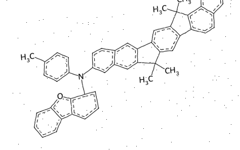 Cc1ccc(N(c2ccc3cc4c(cc3c2)C(C)(C)c2cc3c(cc2-4)C(C)(C)c2c-3ccc3ccccc23)c2cccc3c2oc2ccccc23)cc1